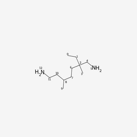 CCC(C)(CN)CCC(C)CCN